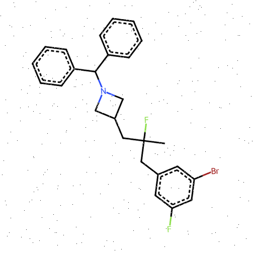 CC(F)(Cc1cc(F)cc(Br)c1)CC1CN(C(c2ccccc2)c2ccccc2)C1